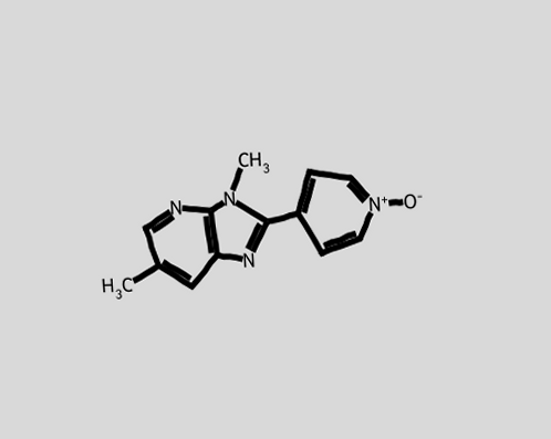 Cc1cnc2c(c1)nc(-c1cc[n+]([O-])cc1)n2C